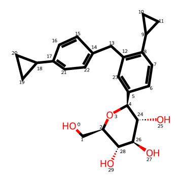 OC[C@H]1O[C@@H](c2ccc(C3CC3)c(Cc3ccc(C4CC4)cc3)c2)[C@H](O)[C@@H](O)[C@@H]1O